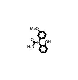 COc1cccc(N(C(N)=O)c2ccccc2O)c1